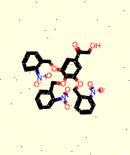 O=C(CO)c1cc(OCc2ccccc2[N+](=O)[O-])c(OCc2ccccc2[N+](=O)[O-])c(OCc2ccccc2[N+](=O)[O-])c1